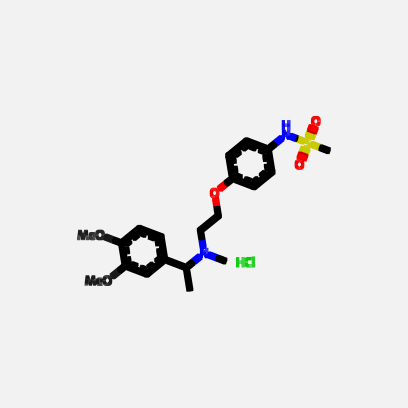 COc1ccc(C(C)N(C)CCOc2ccc(NS(C)(=O)=O)cc2)cc1OC.Cl